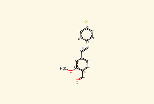 COc1cc(/C=C/c2ccc(S)cc2)ccc1C=O